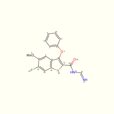 COc1cc2c(Oc3ccccc3)c(C(=O)NC=N)sc2cc1F